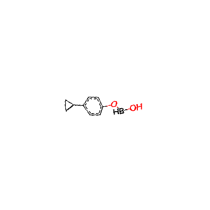 OBOc1ccc(C2CC2)cc1